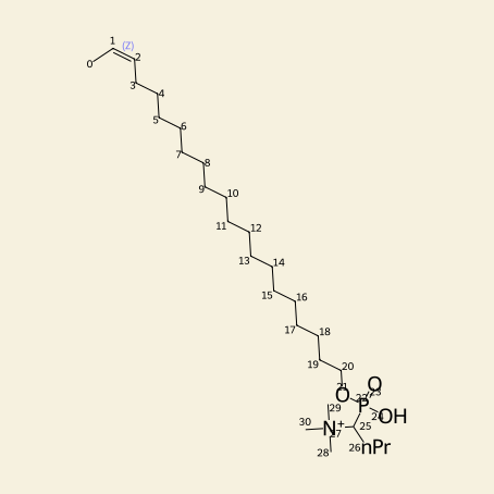 C/C=C\CCCCCCCCCCCCCCCCCCOP(=O)(O)C(CCC)[N+](C)(C)C